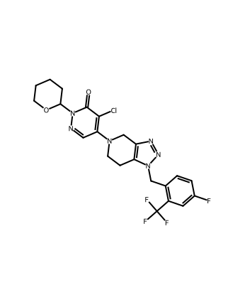 O=c1c(Cl)c(N2CCc3c(nnn3Cc3ccc(F)cc3C(F)(F)F)C2)cnn1C1CCCCO1